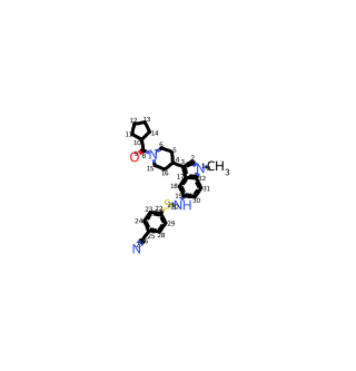 Cn1cc(C2CCN(C(=O)C3CCCC3)CC2)c2cc(NSc3ccc(C#N)cc3)ccc21